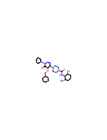 CCc1cccc(C(C)C)c1NC(=O)N1CCN(c2cnn(-c3ccccc3)c(=O)c2OCc2ccccc2)CC1